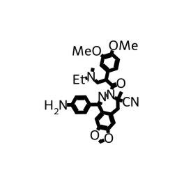 CCN(C)CC(C(=O)N1N=C(c2ccc(N)cc2)c2cc3c(cc2CC1(C)C#N)OCO3)c1ccc(OC)c(OC)c1